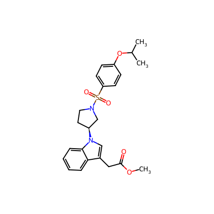 COC(=O)Cc1cn([C@H]2CCN(S(=O)(=O)c3ccc(OC(C)C)cc3)C2)c2ccccc12